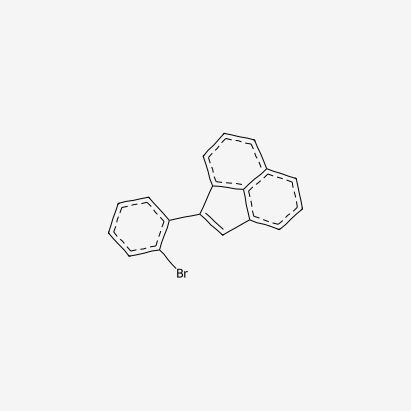 Brc1ccccc1C1=Cc2cccc3cccc1c23